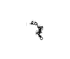 CCOP(=O)(Cc1cccc(OCC2O[C@@H](n3ncc4c(N5CC6(CCCCC6)C5)nc(Cl)nc43)[C@@H]3OC(C)(C)O[C@H]23)c1)OCC